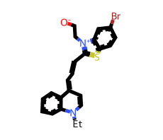 CCN1C=C/C(=C\C=C\c2sc3ccc(Br)cc3[n+]2CC[O-])c2ccccc21